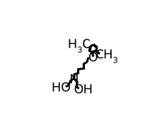 Cc1ccc(C)c(OCCCCCCCN(CCO)CCO)c1